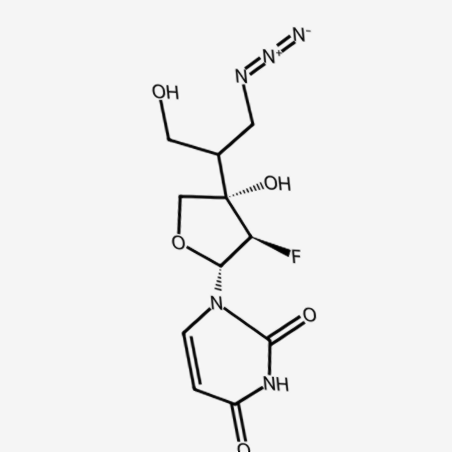 [N-]=[N+]=NCC(CO)[C@]1(O)CO[C@@H](n2ccc(=O)[nH]c2=O)[C@@H]1F